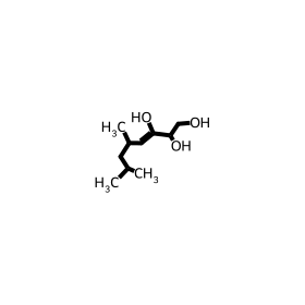 CC(C)CC(C)C=C(O)C(O)CO